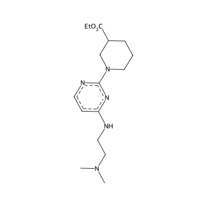 CCOC(=O)C1CCCN(c2nccc(NCCN(C)C)n2)C1